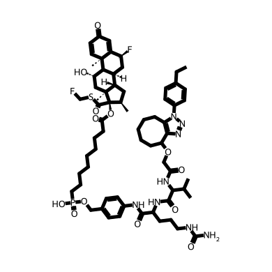 CCc1ccc(-n2nnc3c2CCCCCC3OCC(=O)NC(C(=O)NC(CCCNC(N)=O)C(=O)Nc2ccc(COP(=O)(O)CCCCCCCCC(=O)O[C@]3(C(=O)SCF)[C@H](C)C[C@H]4[C@@H]5C[C@H](F)C6=CC(=O)C=C[C@]6(C)C5[C@@H](O)C[C@@]43C)cc2)C(C)C)cc1